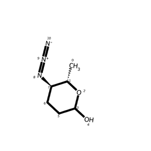 C[C@@H]1OC(O)CC[C@H]1N=[N+]=[N-]